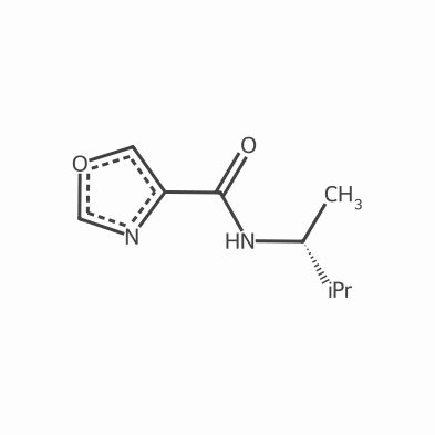 CC(C)[C@@H](C)NC(=O)c1cocn1